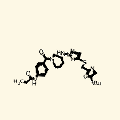 C=CC(=O)Nc1ccc(C(=O)N2CCC[C@@H](Nn3ncc(SCc4ncc(C(C)(C)C)o4)n3)C2)cc1